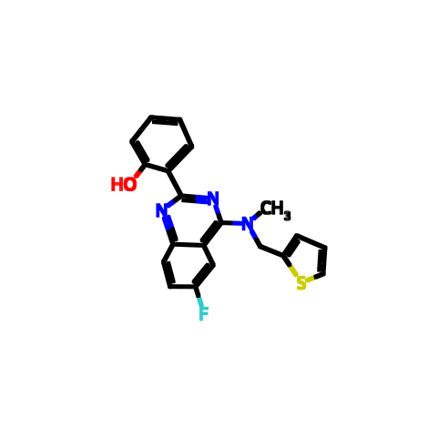 CN(Cc1cccs1)c1nc(-c2ccccc2O)nc2ccc(F)cc12